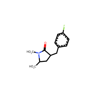 O=C(O)C1CC(Cc2ccc(F)cc2)C(=O)N1C(=O)O